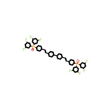 O=P(c1ccc(/C=C/c2ccc(-c3ccc(/C=C/c4ccc(P(=O)(c5cc(F)cc(F)c5)c5cc(F)cc(F)c5)cc4)cc3)cc2)cc1)(c1cc(F)cc(F)c1)c1cc(F)cc(F)c1